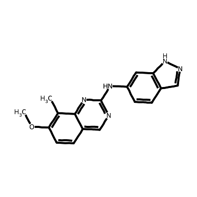 COc1ccc2cnc(Nc3ccc4cn[nH]c4c3)nc2c1C